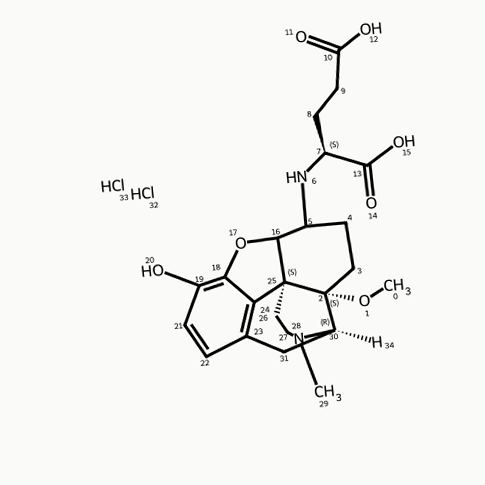 CO[C@@]12CCC(N[C@@H](CCC(=O)O)C(=O)O)C3Oc4c(O)ccc5c4[C@@]31CCN(C)[C@@H]2C5.Cl.Cl